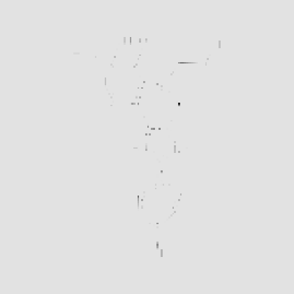 CC1(C)N=CC2=C(C1=O)C(CCCl)C(=O)c1nc(-c3ccc(Cl)cc3)[nH]c12